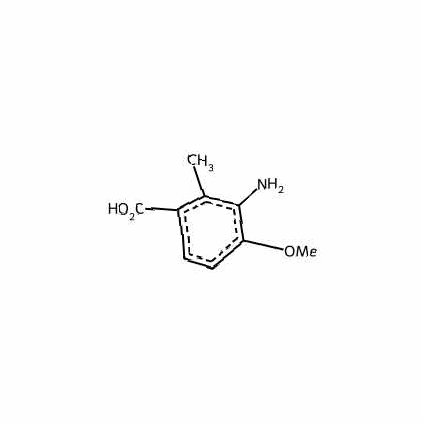 COc1ccc(C(=O)O)c(C)c1N